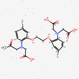 CC(=O)CN(CC(=O)O)c1ccc(F)cc1OCCOc1cc(F)ccc1N(CC(=O)O)CC(=O)O